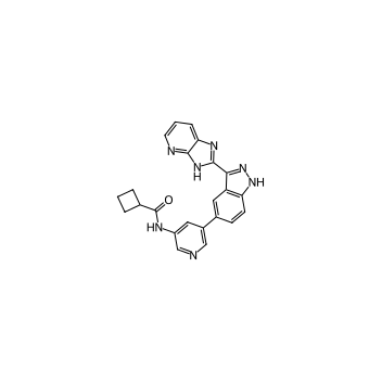 O=C(Nc1cncc(-c2ccc3[nH]nc(-c4nc5cccnc5[nH]4)c3c2)c1)C1CCC1